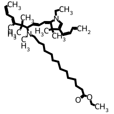 C=C/C=C\C1=CN(CC)/C(=C/C=C/C(N(C)CCCCCCCCCCCCCC(=O)OCC)C(C)(C)/C(C)=C/C=C\C)C1(C)C